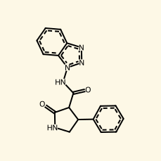 O=C1NCC(c2ccccc2)C1C(=O)Nn1nnc2ccccc21